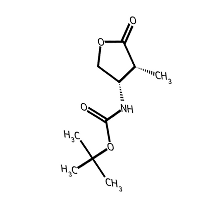 C[C@H]1C(=O)OC[C@H]1NC(=O)OC(C)(C)C